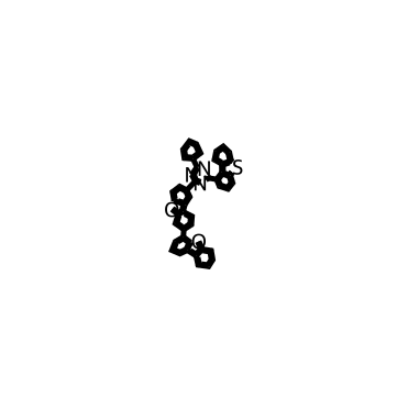 c1ccc(-c2nc(-c3ccc4oc5cc(-c6cccc7c6oc6ccccc67)ccc5c4c3)nc(-c3cccc4sc5ccccc5c34)n2)cc1